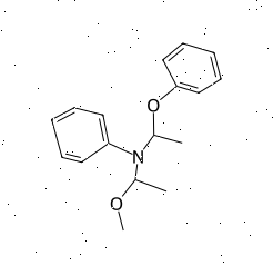 COC(C)N(c1ccccc1)C(C)Oc1ccccc1